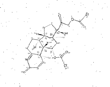 CCC(=O)OCC(=O)[C@@]1(O)CC[C@H]2[C@@H]3CCC4=CC(=O)C=C[C@]4(C)[C@@]3(F)[C@@H](OC(=O)C(F)(F)F)C[C@@]21C